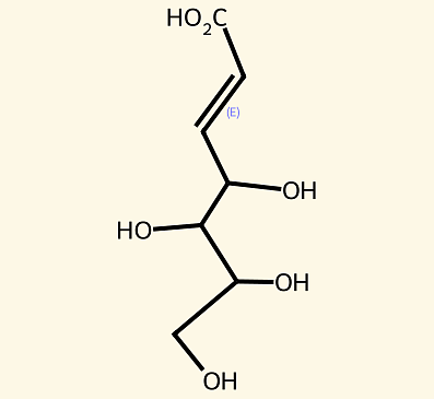 O=C(O)/C=C/C(O)C(O)C(O)CO